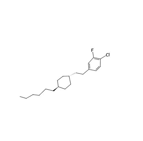 CCCCCC[C@H]1CC[C@H](CCc2ccc(Cl)c(F)c2)CC1